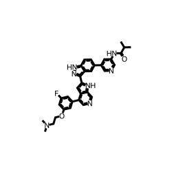 CC(C)C(=O)Nc1cncc(-c2ccc3[nH]nc(-c4cc5c(-c6cc(F)cc(OCCN(C)C)c6)cncc5[nH]4)c3c2)c1